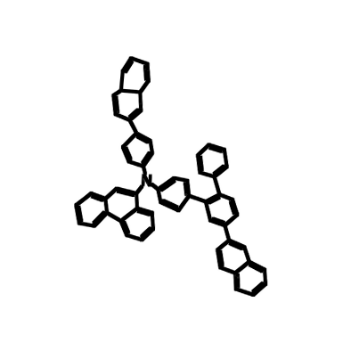 C1=CC2C=CC(c3ccc(N(c4ccc(-c5cc(-c6ccc7ccccc7c6)ccc5-c5ccccc5)cc4)c4cc5ccccc5c5ccccc45)cc3)=CC2C=C1